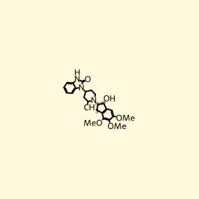 COc1cc2c(c(OC)c1OC)C[C@H](N1CCC(n3c(=O)[nH]c4ccccc43)CC1C)[C@@H]2O